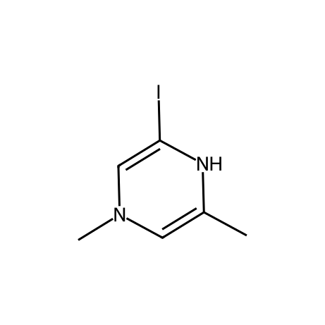 CC1=CN(C)C=C(I)N1